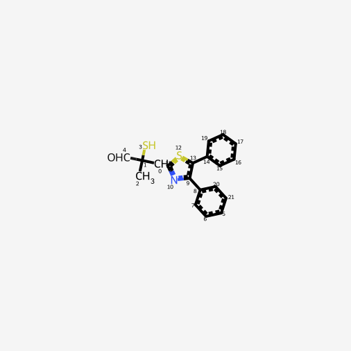 CC(C)(S)C=O.c1ccc(-c2ncsc2-c2ccccc2)cc1